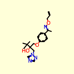 C=CCON=C(C)c1ccc(OCC(O)(Cn2cncn2)C(C)(C)C)cc1